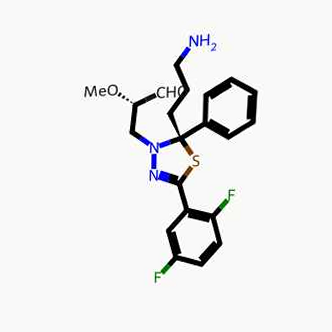 CO[C@H](C=O)CN1N=C(c2cc(F)ccc2F)S[C@@]1(CCCN)c1ccccc1